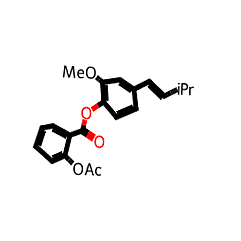 COc1cc(/C=C/C(C)C)ccc1OC(=O)c1ccccc1OC(C)=O